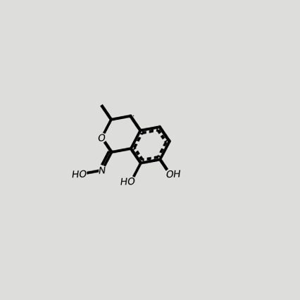 CC1[CH]c2ccc(O)c(O)c2C(=NO)O1